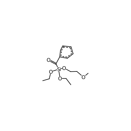 CCO[Si](OCC)(OCCOC)C(=O)c1ccccc1